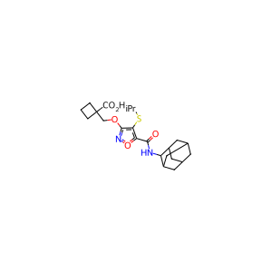 CC(C)Sc1c(OCC2(C(=O)O)CCC2)noc1C(=O)NC1C2CC3CC(C2)CC1C3